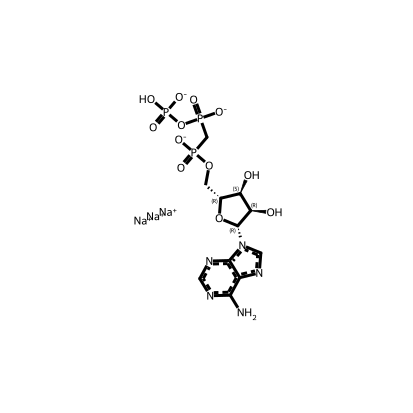 Nc1ncnc2c1ncn2[C@@H]1O[C@H](COP(=O)([O-])CP(=O)([O-])OP(=O)([O-])O)[C@@H](O)[C@H]1O.[Na+].[Na+].[Na+]